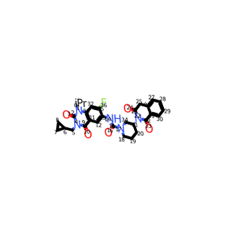 CC(C)n1c(=O)n(CC2CC2)c(=O)c2cc(NC(=O)N3CCC[C@@H](N4C(=O)Cc5ccccc5C4=O)C3)c(F)cc21